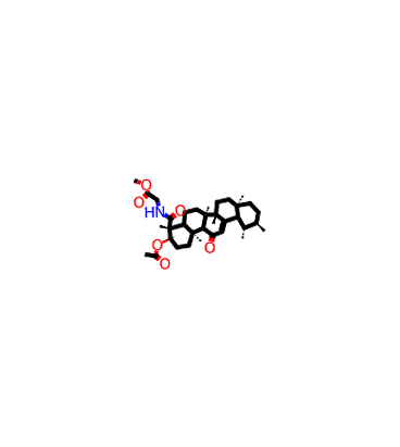 COC(=O)CNC(=O)[C@]1(C)C2CC[C@]3(C)C(C(=O)C=C4C5[C@@H](C)[C@H](C)CC[C@]5(C)CC[C@]43C)[C@@]2(C)CC[C@H]1OC(C)=O